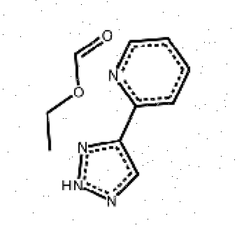 CCOC=O.c1ccc(-c2cn[nH]n2)nc1